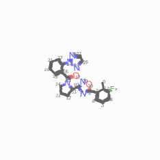 Cc1c(F)cccc1-c1nc(C2CCCN2C(=O)c2ccccc2-n2nccn2)no1